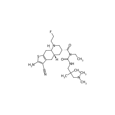 CCN(C(=O)NCC(C)(C)CN(C)C)C(=O)[C@@H]1C[C@@H]2Cc3c(sc(N)c3C#N)C[C@H]2N(CCF)C1